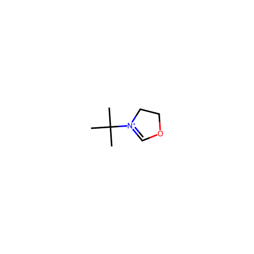 CC(C)(C)[N+]1=COCC1